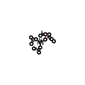 c1ccc(-n2c3ccccc3c3ccc(-c4nc(-c5ccc(-n6c7ccccc7c7cc8ccccc8cc76)c(-c6cccc7sc8ccccc8c67)c5)nc(-c5ccc6c7ccccc7n(-c7ccccc7)c6c5)n4)cc32)cc1